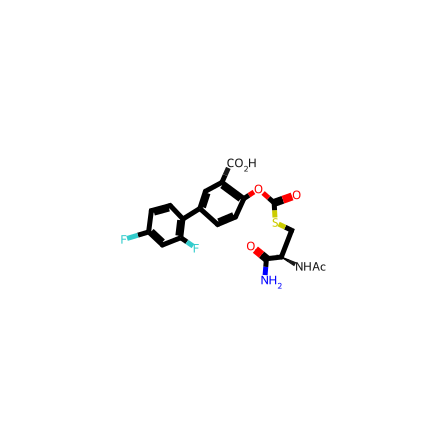 CC(=O)N[C@H](CSC(=O)Oc1ccc(-c2ccc(F)cc2F)cc1C(=O)O)C(N)=O